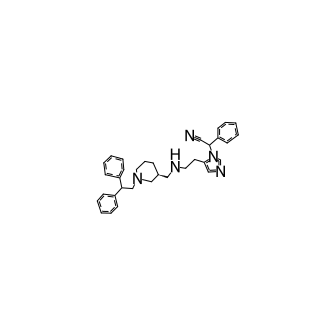 N#CC(c1ccccc1)n1cncc1CCNC[C@@H]1CCCN(CC(c2ccccc2)c2ccccc2)C1